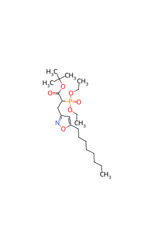 CCCCCCCCc1cc(CC(C(=O)OC(C)(C)C)P(=O)(OCC)OCC)no1